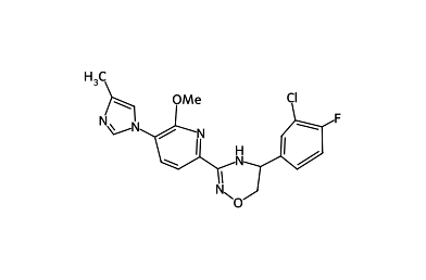 COc1nc(C2=NOCC(c3ccc(F)c(Cl)c3)N2)ccc1-n1cnc(C)c1